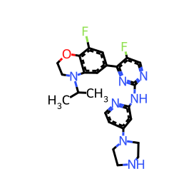 CC(C)N1CCOc2c(F)cc(-c3nc(Nc4cc(N5CCNCC5)ccn4)ncc3F)cc21